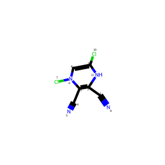 N#CC1=C(C#N)N(Cl)C=C(Cl)N1